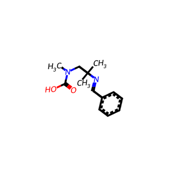 CN(CC(C)(C)N=Cc1ccccc1)C(=O)O